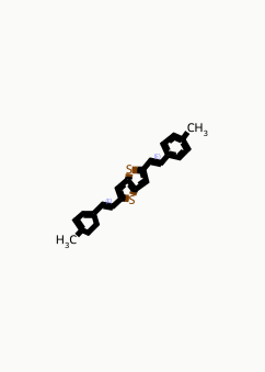 CC1=CC=C(/C=C/c2cc3sc(/C=C/c4ccc(C)cc4)cc3s2)CC1